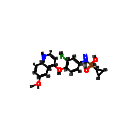 COc1ccc2nccc(Oc3ccc(NS(=O)(=O)C4CC4)cc3F)c2c1